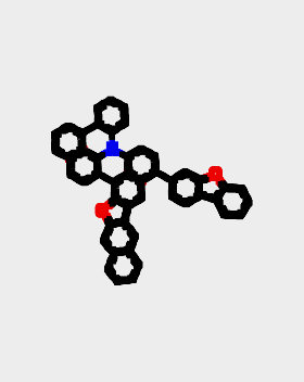 c1ccc(-c2ccccc2N(c2ccc(-c3ccc4c(c3)oc3ccccc34)cc2)c2ccccc2-c2cccc3c2oc2cc4ccccc4cc23)cc1